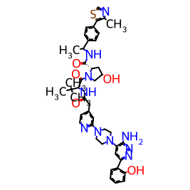 Cc1ncsc1-c1ccc(C(C)NC(=O)[C@@H]2C[C@@H](O)CN2C(=O)C(NC(=O)Cc2ccnc(N3CCN(c4cc(-c5ccccc5O)nnc4N)CC3)c2)C(C)(C)C)cc1